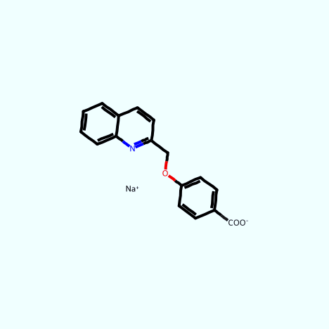 O=C([O-])c1ccc(OCc2ccc3ccccc3n2)cc1.[Na+]